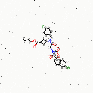 CCCCOC(=O)C1CC(N(Cc2ccc(F)cc2)C(=O)CN2C(=O)OC3(CCc4cc(Br)ccc43)C2=O)C1